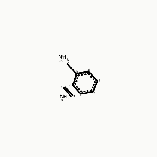 C=C.Cc1ccccc1.N.N